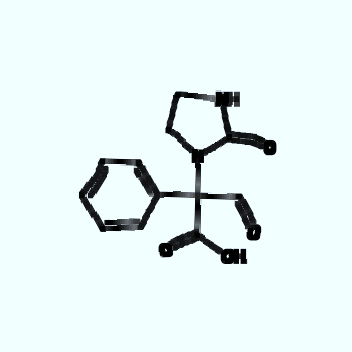 O=CC(C(=O)O)(c1ccccc1)N1CCNC1=O